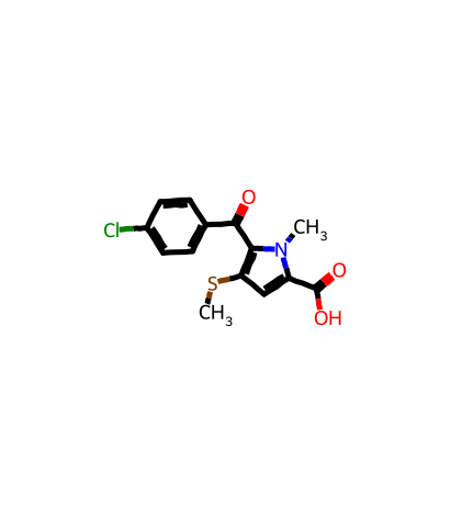 CSc1cc(C(=O)O)n(C)c1C(=O)c1ccc(Cl)cc1